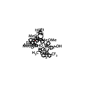 CC[C@]1(O)C[C@H]2C[N@](CCc3c([nH]c4ccccc34)[C@@](C(=O)OC)(c3cc4c(cc3OC)N(C=O)[C@H]3[C@@](O)(C(=O)OC)[C@H](OC(C)=O)[C@]5(CC)C=CCN6CC[C@]43[C@@H]65)C2)C1.COc1ccc2[nH]c([S+]([O-])Cc3ncc(C)c(OC)c3C)nc2c1.OCCN1CCN(CCCN2c3ccccc3Sc3ccc(C(F)(F)F)cc32)CC1